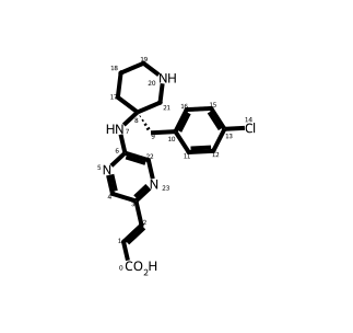 O=C(O)/C=C/c1cnc(N[C@@]2(Cc3ccc(Cl)cc3)CCCNC2)cn1